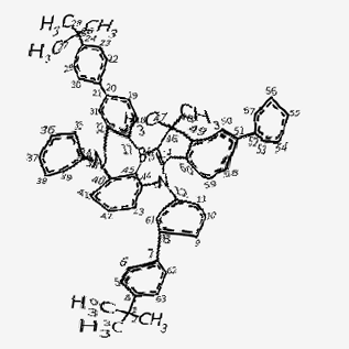 CC(C)(C)c1ccc(-c2cccc(N3C4=C(B5c6ccc(-c7ccc(C(C)(C)C)cc7)cc6N(c6ccccc6)c6cccc3c65)C(C)(C)c3cc(-c5ccccc5)ccc34)c2)cc1